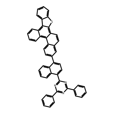 c1ccc(-c2nc(-c3ccccc3)nc(-c3ccc(-c4ccc5c(ccc6c7sc8ccccc8c7c7ccccc7c56)c4)c4ccccc34)n2)cc1